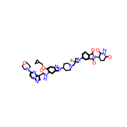 O=C1CCC(N2C(=O)c3ccc(N4CC(F)(CN5CCC(n6cc7cc(NC(=O)c8cnn9ccc(N%10CCOCC%10)nc89)c(OCC8CC8)cc7n6)CC5)C4)cc3C2=O)C(=O)N1